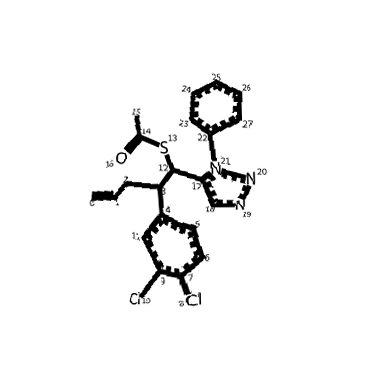 C=CCC(c1ccc(Cl)c(Cl)c1)C(SC(C)=O)c1cnnn1-c1ccccc1